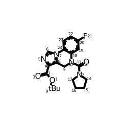 CC(C)(C)OC(=O)c1ncn2c1CN(C(=O)N1CCCC1)c1cc(F)ccc1-2